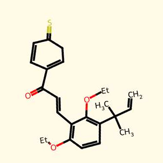 C=CC(C)(C)c1ccc(OCC)c(C=CC(=O)C2=CCC(=S)C=C2)c1OCC